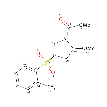 COC(=O)[C@H]1C[C@H](S(=O)(=O)c2ccccc2C(F)(F)F)C[C@@H]1OC